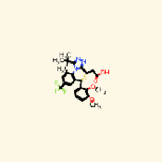 COc1cccc(C2SC(CC(=O)O)c3nnc(C(C)(C)C)n3-c3ccc(C(F)(F)F)cc32)c1OC